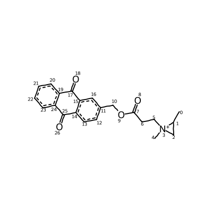 CC1C[N+]1(C)CCC(=O)OCc1ccc2c(c1)C(=O)c1ccccc1C2=O